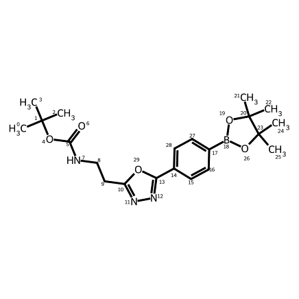 CC(C)(C)OC(=O)NCCc1nnc(-c2ccc(B3OC(C)(C)C(C)(C)O3)cc2)o1